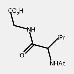 CC(=O)NC(C(=O)NCC(=O)O)C(C)C